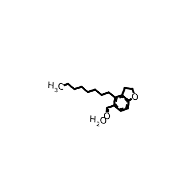 CCCCCCCCc1c(C=O)ccc2c1CCO2.O